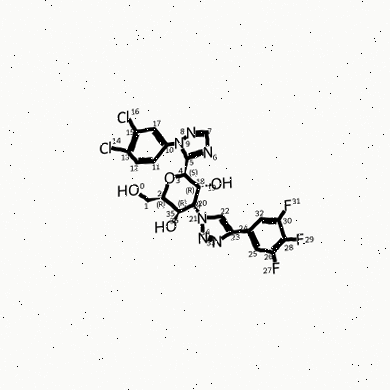 OC[C@H]1O[C@@H](c2ncnn2-c2ccc(Cl)c(Cl)c2)[C@H](O)[C@@H](n2cc(-c3cc(F)c(F)c(F)c3)nn2)[C@H]1O